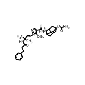 CC(C)COc1c(C(=O)N[C@H]2C3CC4CC2C[C@@](OC(N)=O)(C4)C3)cnn1/C=C/C(C)(C)NC(=O)CCc1ccccc1